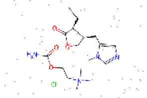 CC[C@@H]1C(=O)OC[C@@H]1Cc1cncn1C.C[N+](C)(C)CCOC(N)=O.[Cl-]